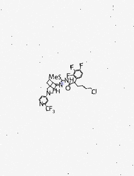 CS/C(=N\[C@@H]1C2CCC23CN(c2ccnc(C(F)(F)F)c2)C[C@@H]13)NC(=O)C(CCCCCl)c1ccc(F)c(F)c1F